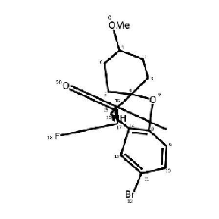 COC1CCC2(CC1)Oc1ccc(Br)cc1C21C=C(F)C(=O)N1